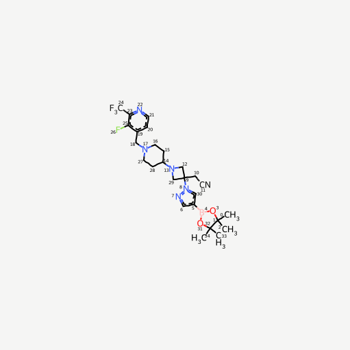 CC1(C)OB(c2cnn(C3(CC#N)CN(C4CCN(Cc5ccnc(C(F)(F)F)c5F)CC4)C3)c2)OC1(C)C